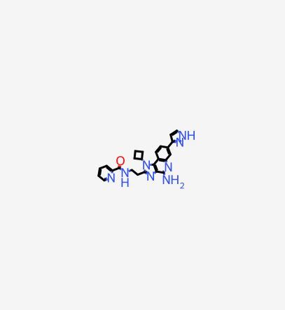 Nc1nc2cc(-c3cc[nH]n3)ccc2c2c1nc(CCNC(=O)c1ccccn1)n2C1CCC1